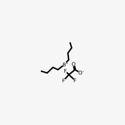 CCCC[B+]CCCC.O=C([O-])C(F)(F)F